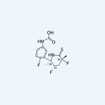 C[C@@]1(F)C[C@H](F)[C@@](C)(c2cc(NC(=O)O)ccc2F)NC1=S